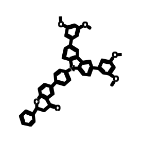 COc1cc(OC)cc(-c2ccc3c(c2)c2cc(-c4cc(OC)cc(OC)c4)ccc2n3-c2ccc(-c3ccc4c(c3)C(=O)CC(c3ccccc3)O4)cc2)c1